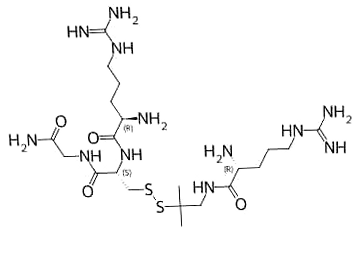 CC(C)(CNC(=O)[C@H](N)CCCNC(=N)N)SSC[C@@H](NC(=O)[C@H](N)CCCNC(=N)N)C(=O)NCC(N)=O